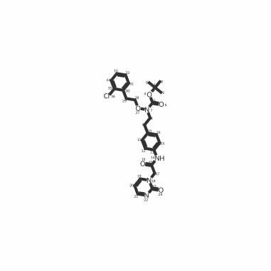 CC(C)(C)OC(=O)N(CCc1ccc(NC(=O)Cn2cccnc2=O)cc1)OCCc1ccccc1Cl